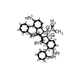 CCCc1ccc2c(c1-c1ccccc1C(C)C)C=C(CC(C)C)[CH]2[Zr]([Cl])([Cl])([CH]1C(CC(C)C)=Cc2c1ccc(CCC)c2-c1ccccc1C(C)C)[SiH](C)C